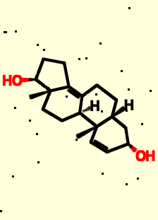 C[C@]12C=C[C@H](O)C[C@H]1CCC1=C3CC[C@H](O)[C@@]3(C)CC[C@@H]12